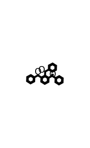 O=C(c1ccccc1)c1cccc(C(=O)c2ccccc2)c1C(=O)c1ccccc1